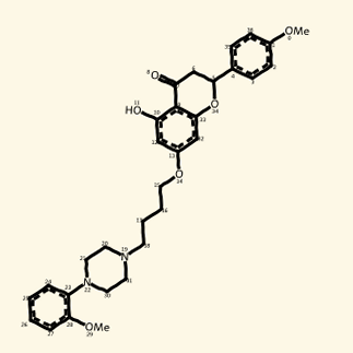 COc1ccc(C2CC(=O)c3c(O)cc(OCCCCN4CCN(c5ccccc5OC)CC4)cc3O2)cc1